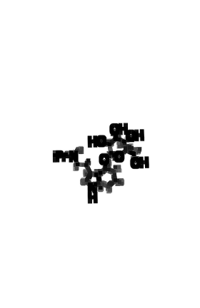 CC(C)N(C)CCc1c[nH]c2cccc(O[C@H]3O[C@H](CO)[C@@H](O)[C@H](O)C3O)c12